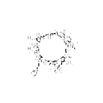 CC[C@@H]1NC(=O)[C@H]([C@H](O)[C@H](C)CCCC(=O)OC)NC(=O)[C@H](C(C)C)N(C)C(=O)[C@H](CC(C)C)N(C)C(=O)[C@H](CC(C)C)N(C)C(=O)[C@@H](C)NC(=O)[C@H](C)NC(=O)[C@H](CC(C)C)N(C)C(=O)[C@H](C(C)C)NC(=O)[C@H]([C@@H](C)OCCCCN2CCOCC2)N(C)C(=O)[C@@H](C)N(C)C1=O